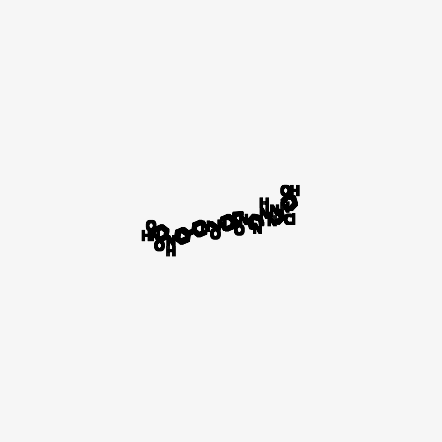 O=C1CCC(Nc2ccc(C3CCN(CC(=O)N4CCC5(CC4)CCN(c4cncc(Nc6ncc(Cl)c(N7CCC[C@H](O)C7)n6)c4)C5=O)CC3)cc2)C(=O)N1